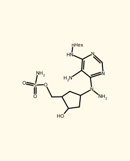 CCCCCCNc1ncnc(N(N)C2CC(O)C(COS(N)(=O)=O)C2)c1N